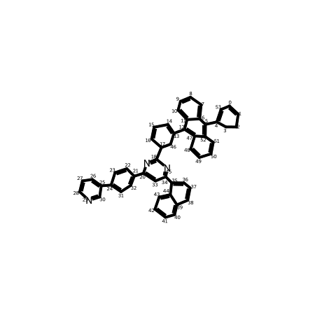 C1=CCCC(c2c3ccccc3c(C3=CC=CC(c4nc(-c5ccc(-c6cccnc6)cc5)cc(-c5cccc6ccccc56)n4)C3)c3ccccc23)=C1